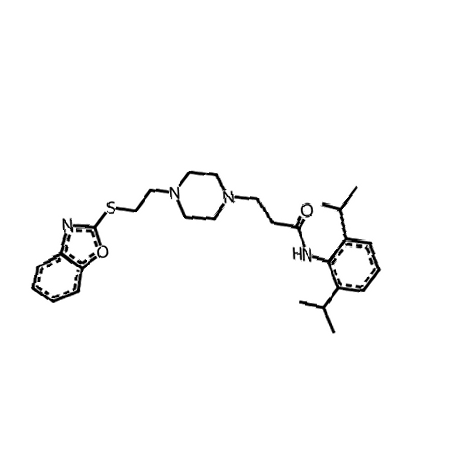 CC(C)c1cccc(C(C)C)c1NC(=O)CCN1CCN(CCSc2nc3ccccc3o2)CC1